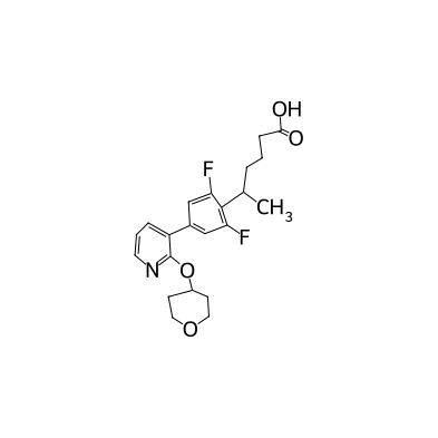 CC(CCCC(=O)O)c1c(F)cc(-c2cccnc2OC2CCOCC2)cc1F